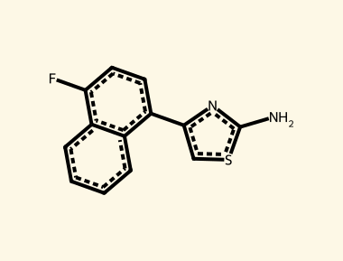 Nc1nc(-c2ccc(F)c3ccccc23)cs1